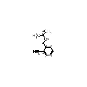 CC(C)OCc1ccccc1C#N